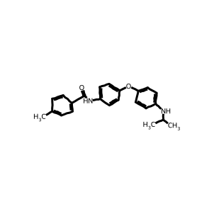 Cc1ccc(C(=O)Nc2ccc(Oc3ccc(NC(C)C)cc3)cc2)cc1